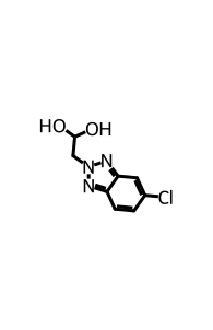 OC(O)Cn1nc2ccc(Cl)cc2n1